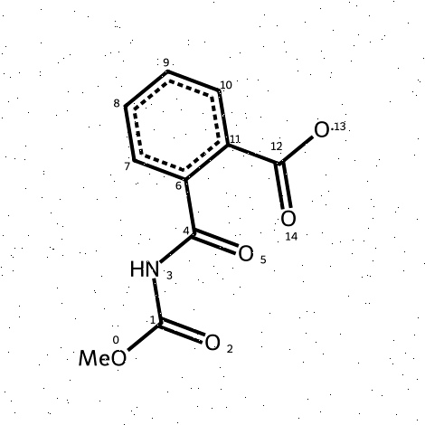 COC(=O)NC(=O)c1ccccc1C([O])=O